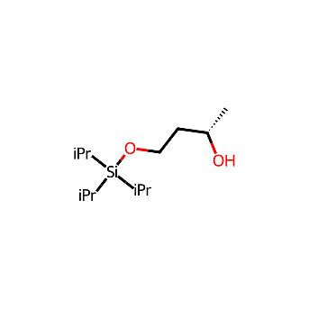 CC(C)[Si](OCC[C@H](C)O)(C(C)C)C(C)C